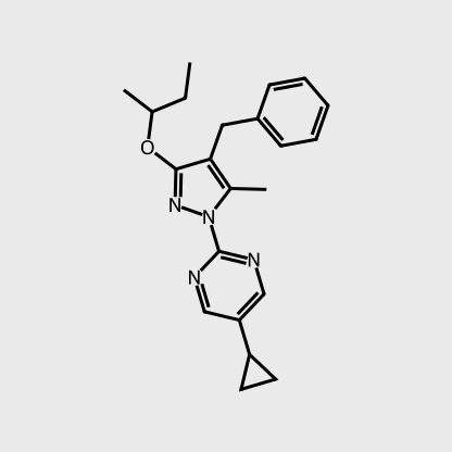 CCC(C)Oc1nn(-c2ncc(C3CC3)cn2)c(C)c1Cc1ccccc1